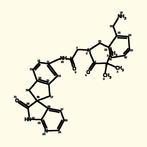 CC(C)(C)C(=O)N(CC(=O)Nc1ccc2c(c1)CC1(C2)C(=O)Nc2ncccc21)Cc1ccccc1CN